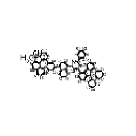 CC1(C)c2cccc(-c3cccc(-c4ccc(-c5cc(-c6cccc7c6-c6ccccc6C7(c6ccccc6)c6ccccc6)nc(-c6ccccc6)n5)c5ccccc45)c3)c2-c2c1ccc1ccccc21